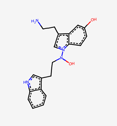 NCCc1cn(N(O)CCc2c[nH]c3ccccc23)c2ccc(O)cc12